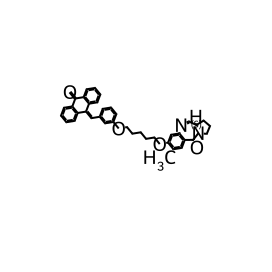 Cc1cc2c(cc1OCCCCCOc1cccc(C=C3c4ccccc4C(=O)c4ccccc43)c1)N=C[C@@H]1CCCN1C2=O